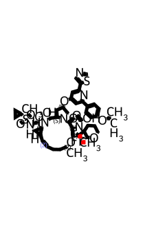 CC[C@@H]1O[C@H](C)CC/C=C\[C@@H]2C[C@@]2(C(=O)NS(=O)(=O)C2(C)CC2)NC(=O)[C@@H]2C[C@@H](Oc3cc(-c4ccc(OC(C)C)cc4)nc(-c4cncs4)c3)CN2C(=O)[C@H]1N(C(=O)O)C1(C(F)(F)F)CCCOC1